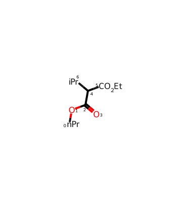 CCCOC(=O)C(C(=O)OCC)C(C)C